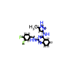 Cc1cc(Nc2nc(NCc3ccc(F)c(F)c3)nc3ccccc23)n[nH]1